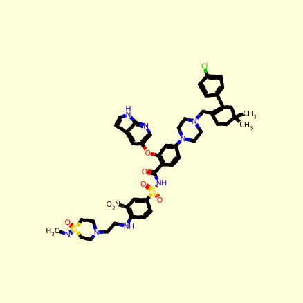 CN=S1(=O)CCN(CCNc2ccc(S(=O)(=O)NC(=O)c3ccc(N4CCN(CC5=C(c6ccc(Cl)cc6)CC(C)(C)CC5)CC4)cc3Oc3cnc4[nH]ccc4c3)cc2[N+](=O)[O-])CC1